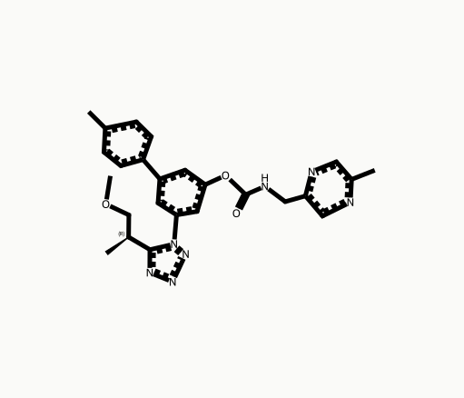 COC[C@H](C)c1nnnn1-c1cc(OC(=O)NCc2cnc(C)cn2)cc(-c2ccc(C)cc2)c1